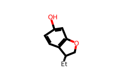 CCC1COc2cc(O)ccc21